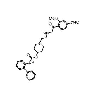 COc1cc(C=O)ccc1C(=O)CNCCN1CCC(OC(=O)Nc2ccccc2-c2ccccc2)CC1